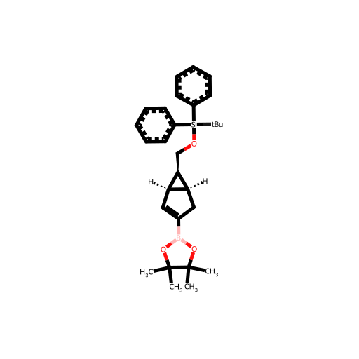 CC1(C)OB(C2=C[C@H]3[C@@H](CO[Si](c4ccccc4)(c4ccccc4)C(C)(C)C)[C@H]3C2)OC1(C)C